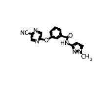 Cn1ccc(NC(=O)c2cccc(Oc3cnc(C#N)cn3)c2)n1